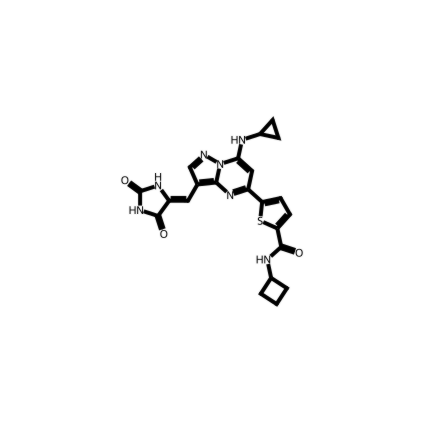 O=C1NC(=O)/C(=C/c2cnn3c(NC4CC4)cc(-c4ccc(C(=O)NC5CCC5)s4)nc23)N1